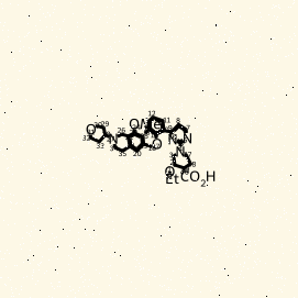 CCO[C@H]1CN(c2nccc(-c3cccc(C)c3OCc3cc4c(c(OC)c3)CN(C3CCOCC3)CC4)n2)CC[C@H]1C(=O)O